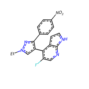 CCn1cc(-c2c(F)cnc3[nH]ccc23)c(-c2ccc([N+](=O)[O-])cc2)n1